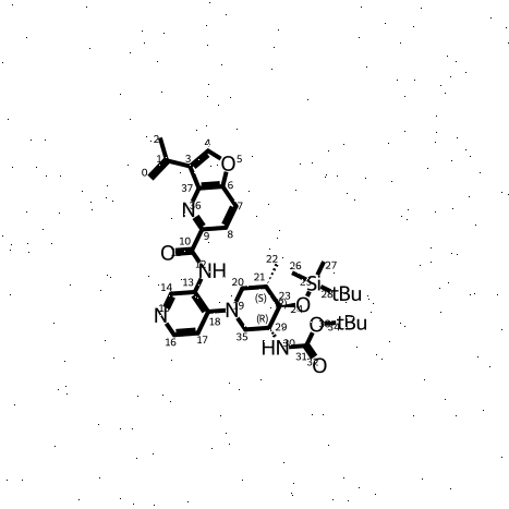 C=C(C)c1coc2ccc(C(=O)Nc3cnccc3N3C[C@H](C)[C@@H](O[Si](C)(C)C(C)(C)C)[C@H](NC(=O)OC(C)(C)C)C3)nc12